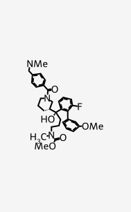 CNCc1ccc(C(=O)N2CCC[C@@H]([C@@](O)(CCCN(C)C(=O)OC)c3cccc(F)c3-c3cccc(OC)c3)C2)cc1